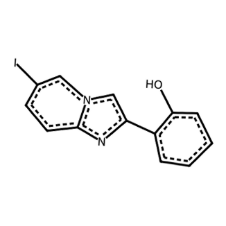 Oc1ccccc1-c1cn2cc(I)ccc2n1